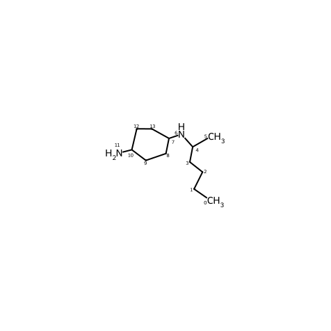 CCCCC(C)NC1CCC(N)CC1